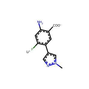 Cn1cc(-c2cc(C(=O)[O-])c(N)cc2F)cn1.[Li+]